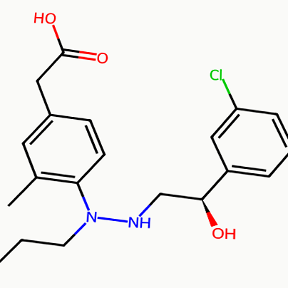 CCCN(NC[C@H](O)c1cccc(Cl)c1)c1ccc(CC(=O)O)cc1C